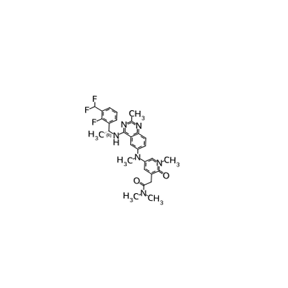 Cc1nc(N[C@H](C)c2cccc(C(F)F)c2F)c2cc(N(C)c3cc(CC(=O)N(C)C)c(=O)n(C)c3)ccc2n1